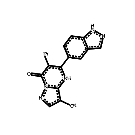 CC(C)c1c(-c2ccc3[nH]ncc3c2)[nH]c2c(C#N)cnn2c1=O